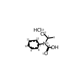 CC(Cl)N(C(=O)O)c1ccccc1.Cl